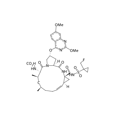 COc1ccc2c(O[C@@H]3C[C@H]4C(=O)N[C@]5(C(=O)NS(=O)(=O)C6(CF)CC6)C[C@H]5/C=C\CC[C@@H](C)C[C@@H](C)[C@H](NC(=O)O)C(=O)N4C3)nc(OC)nc2c1